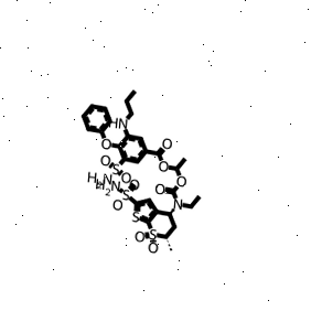 CCCNc1cc(C(=O)OC(C)OC(=O)N(CC)[C@H]2C[C@H](C)S(=O)(=O)c3sc(S(N)(=O)=O)cc32)cc(S(N)(=O)=O)c1Oc1ccccc1